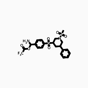 CS(=O)(=O)N1CC(c2ccccc2)CC(S(=O)(=O)c2ccc(C(N)OC(=O)C(F)(F)F)cc2)C1